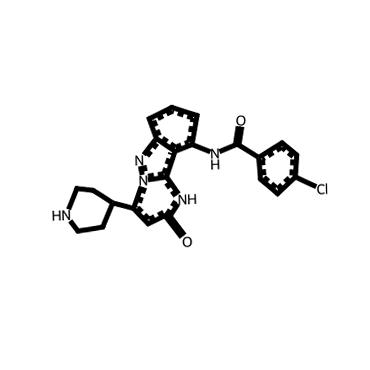 O=C(Nc1cccc2nn3c(C4CCNCC4)cc(=O)[nH]c3c12)c1ccc(Cl)cc1